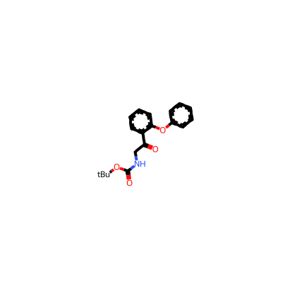 CC(C)(C)OC(=O)NCC(=O)c1ccccc1Oc1ccccc1